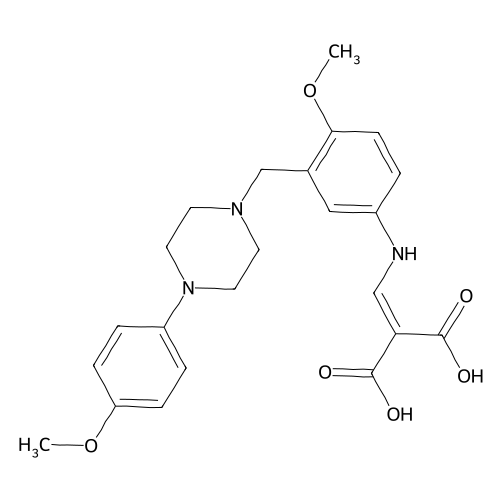 COc1ccc(N2CCN(Cc3cc(NC=C(C(=O)O)C(=O)O)ccc3OC)CC2)cc1